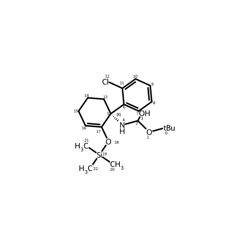 CC(C)(C)OC(O)N[C@@]1(c2ccccc2Cl)CCCC=C1O[Si](C)(C)C